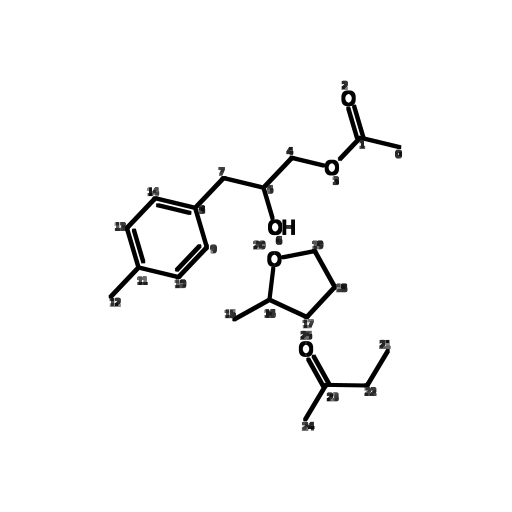 CC(=O)OCC(O)Cc1ccc(C)cc1.CC1CCCO1.CCC(C)=O